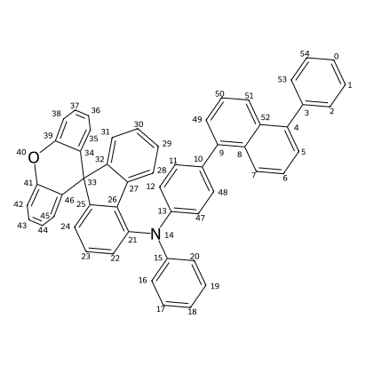 c1ccc(-c2cccc3c(-c4ccc(N(c5ccccc5)c5cccc6c5-c5ccccc5C65c6ccccc6Oc6ccccc65)cc4)cccc23)cc1